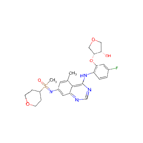 Cc1cc(N=S(C)(=O)C2CCOCC2)cc2ncnc(Nc3ccc(F)cc3O[C@@H]3COC[C@@H]3O)c12